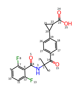 CC(C)(NC(=O)c1c(F)cccc1F)C(=O)c1ccc(C2CC2C(=O)O)cc1